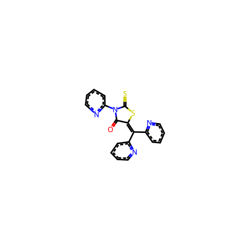 O=C1C(=C(c2ccccn2)c2ccccn2)SC(=S)N1c1ccccn1